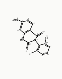 CSc1ncc2c(=O)n(-c3c(F)cccc3Cl)c(=O)[nH]c2n1